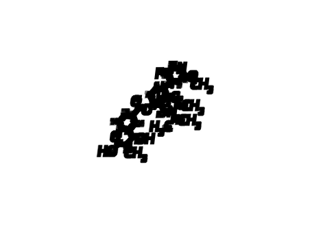 COc1cc(-c2ccc(OC(=O)c3cccc([C@H](O)[C@H](C)C(=O)O)c3)c(CN(C(C)C)C(C)C)c2)c(F)cn1